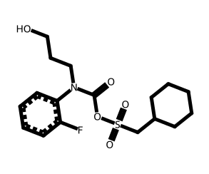 O=C(OS(=O)(=O)CC1CCCCC1)N(CCCO)c1ccccc1F